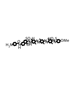 COc1ccc(N=Nc2cc(C)c(N=Nc3cc(C)c(N=Nc4cc(C)c(N=Nc5c(S(=O)(=O)O)cc6cc(NC(=O)c7ccc(N)cc7)ccc6c5O)cc4C)cc3C)cc2C)c(S(=O)(=O)O)c1